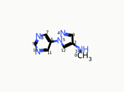 CNc1cnn(-c2cncnc2)c1